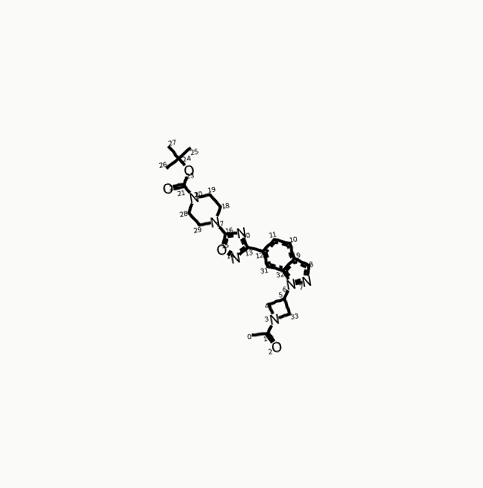 CC(=O)N1CC(n2ncc3ccc(-c4noc(N5CCN(C(=O)OC(C)(C)C)CC5)n4)cc32)C1